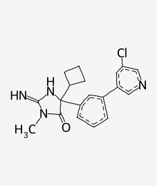 CN1C(=N)NC(c2cccc(-c3cncc(Cl)c3)c2)(C2CCC2)C1=O